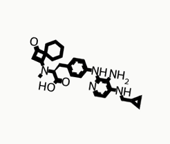 CN(C1=CC(=O)C12CCCCC2)[C@@H](Cc1ccc(Nc2nccc(NCC3CC3)c2N)cc1)C(=O)O